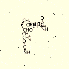 C.C.C.C.C.C.C=CC=O.N=C=O.N=C=O